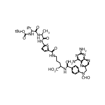 CC(NC(=O)C(NC(=O)OC(C)(C)C)C(C)C)C(=O)Nc1ccc(C(=O)NCCCC(NC(=O)c2ccc(N(C=O)Cc3cnc4nc(N)nc(N)c4n3)cc2)C(=O)O)s1